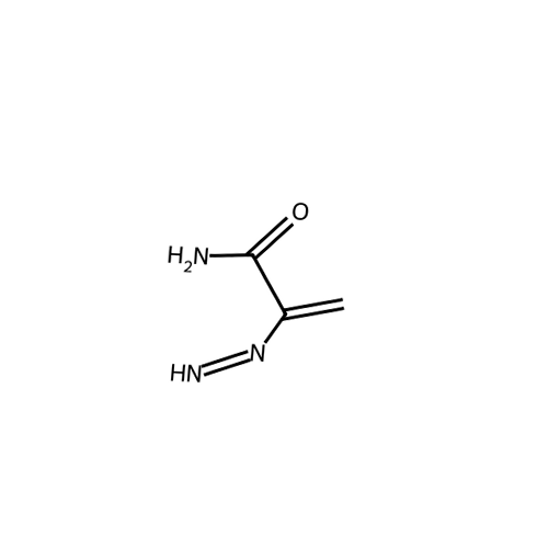 C=C(N=N)C(N)=O